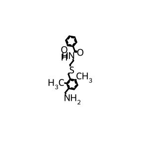 Cc1ccc(CN)c(C)c1CSCCNC(=O)c1ccccc1O